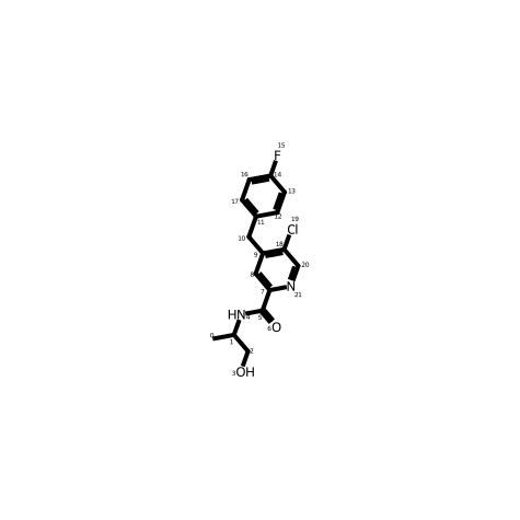 CC(CO)NC(=O)c1cc(Cc2ccc(F)cc2)c(Cl)cn1